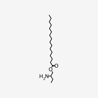 CCCCCCCCCCCCCCCC(=O)OCC(N)CC